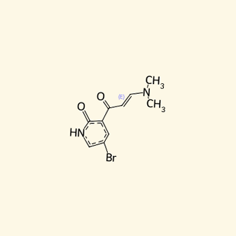 CN(C)/C=C/C(=O)c1cc(Br)c[nH]c1=O